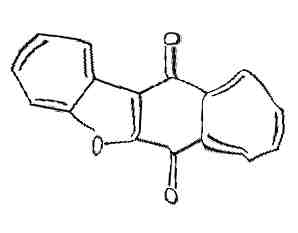 O=C1c2ccccc2C(=O)c2c1oc1ccccc21